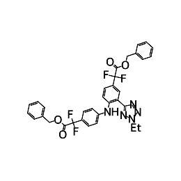 CCn1nnc(-c2cc(C(F)(F)C(=O)OCc3ccccc3)ccc2Nc2ccc(C(F)(F)C(=O)OCc3ccccc3)cc2)n1